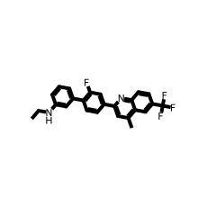 CCNc1cccc(-c2ccc(-c3cc(C)c4cc(C(F)(F)F)ccc4n3)cc2F)c1